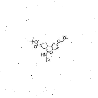 COCOc1cccc([C@H]2CCN(C(=O)OC(C)(C)C)C[C@@H]2C(=O)NC2CC2)c1